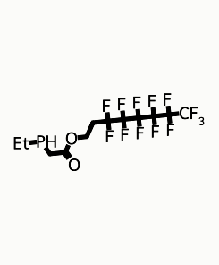 CCPCC(=O)OCCC(F)(F)C(F)(F)C(F)(F)C(F)(F)C(F)(F)C(F)(F)F